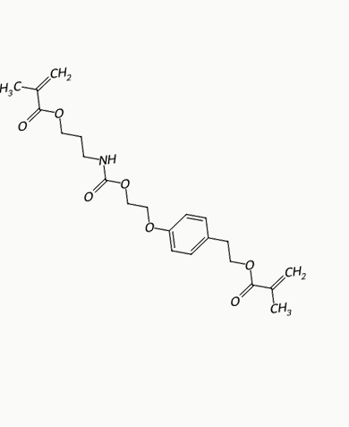 C=C(C)C(=O)OCCCNC(=O)OCCOc1ccc(CCOC(=O)C(=C)C)cc1